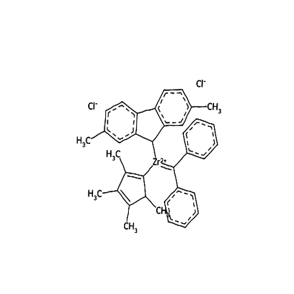 CC1=C(C)C(C)[C]([Zr+2](=[C](c2ccccc2)c2ccccc2)[CH]2c3cc(C)ccc3-c3ccc(C)cc32)=C1C.[Cl-].[Cl-]